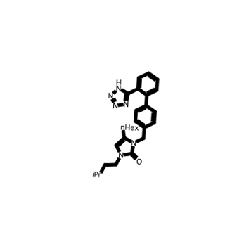 CCCCCCc1cn(CCC(C)C)c(=O)n1Cc1ccc(-c2ccccc2-c2nnn[nH]2)cc1